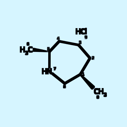 C[C@@H]1CCC[C@@H](C)NC1.Cl